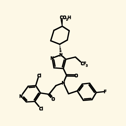 O=C(CN(Cc1ccc(F)cc1)C(=O)c1cnn([C@H]2CC[C@H](C(=O)O)CC2)c1CC(F)(F)F)c1c(Cl)cncc1Cl